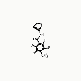 Cc1c(F)c(F)c(C(=O)N[C@@H]2CC3CCC2C3)c(F)c1F